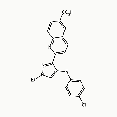 CCn1cc(Sc2ccc(Cl)cc2)c(-c2ccc3cc(C(=O)O)ccc3n2)n1